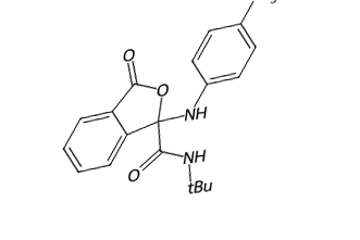 CC(C)(C)NC(=O)C1(Nc2ccc(C(F)(F)F)cc2)OC(=O)c2ccccc21